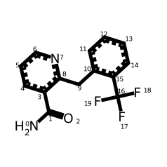 NC(=O)c1cccnc1Cc1ccccc1C(F)(F)F